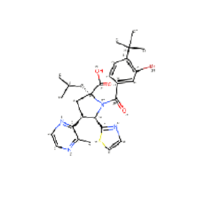 Cc1nccnc1[C@H]1C[C@@](CC(C)C)(C(=O)O)N(C(=O)c2ccc(C(C)(C)C)c(Br)c2)[C@H]1c1nccs1